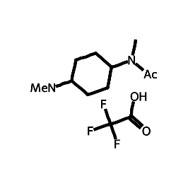 CNC1CCC(N(C)C(C)=O)CC1.O=C(O)C(F)(F)F